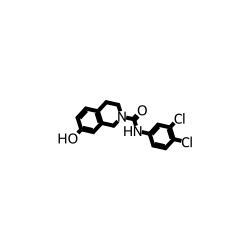 O=C(Nc1ccc(Cl)c(Cl)c1)N1CCc2ccc(O)cc2C1